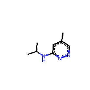 Cc1cnnc(NC(C)C)c1